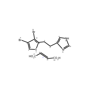 Brc1csc(CCc2c[nH]cn2)c1Br.O=C(O)/C=C/C(=O)O